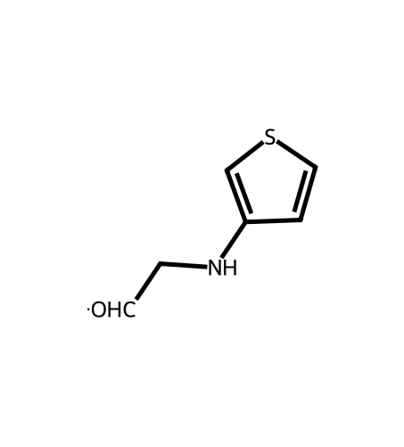 O=[C]CNc1ccsc1